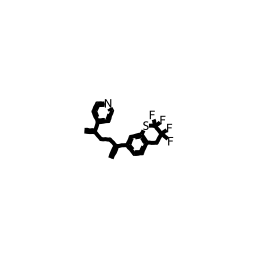 C=C(CCC(=C)c1ccc2c(c1)SC(F)(F)C(F)(F)C2)c1ccncc1